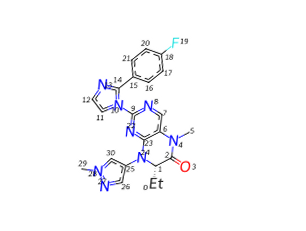 CC[C@H]1C(=O)N(C)c2cnc(-n3ccnc3-c3ccc(F)cc3)nc2N1c1cnn(C)c1